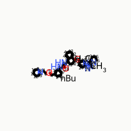 CCCCc1cc(COCCN2CCCCC2)cc(NC(=O)N[C@H]2CC[C@@H](Oc3ccc4nnc([C@]5(C)CCCN5C)n4c3)c3ccccc32)c1